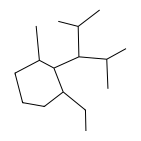 CCC1CCCC(C)C1C(C(C)C)C(C)C